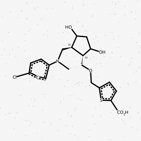 CN(C[C@H]1C(O)CC(O)[C@@H]1COCc1ccc(C(=O)O)s1)c1ccc(Cl)cc1